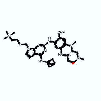 C=CC(=O)Nc1cc(Nc2nc(NC34CC(C3)C4)c3ccn(COCC[Si](C)(C)C)c3n2)c(OC)cc1N(C)CCN(C)C